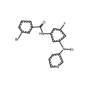 CCN(c1cccnc1)c1cc(F)cc(NC(=O)c2cccc(Br)c2)c1